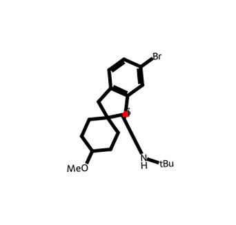 COC1CCC2(CC1)Cc1ccc(Br)cc1C21CSC(NC(C)(C)C)=N1